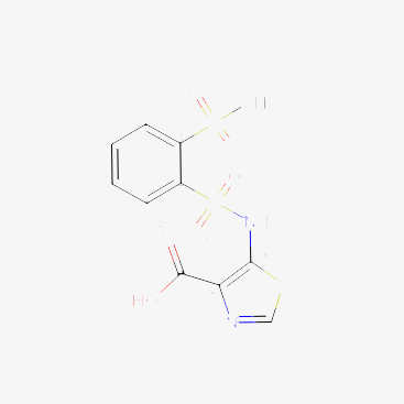 CS(=O)(=O)c1ccccc1S(=O)(=O)Nc1scnc1C(=O)O